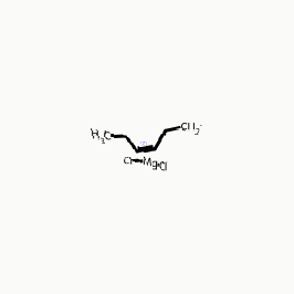 [CH2]C/C=C\CC.[Cl][Mg][Cl]